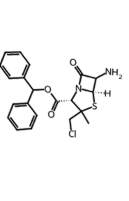 CC1(CCl)S[C@@H]2C(N)C(=O)N2[C@H]1C(=O)OC(c1ccccc1)c1ccccc1